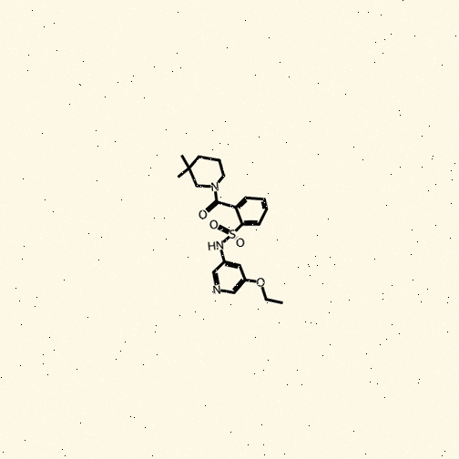 CCOc1cncc(NS(=O)(=O)c2ccccc2C(=O)N2CCCC(C)(C)C2)c1